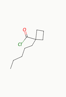 CCCCCC1(C(=O)Cl)CCC1